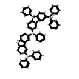 C1=C(N(c2ccccc2)c2ccccc2)CCc2oc3ccc(N(c4ccccc4)c4ccc5c(c4)c4cc(N(c6ccccc6)c6ccccc6)ccc4n5-c4ccccc4)cc3c21